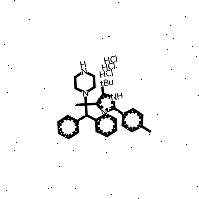 Cc1ccc(-c2nc(C(C)(C(c3ccccc3)c3ccccc3)N3CCNCC3)c(C(C)(C)C)[nH]2)cc1.Cl.Cl.Cl